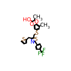 Cc1cc(SCc2sc(-c3ccc(C(F)(F)F)cc3)nc2Cc2cccs2)ccc1OC(C)C(=O)O